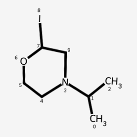 CC(C)N1CCOC(I)C1